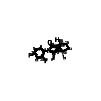 Cn1c2c(c(=O)n1-c1ccc(F)cc1F)[C@H]1CC[C@]2(C)C1(C)C